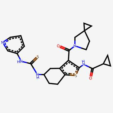 O=C(Nc1sc2c(c1C(=O)N1CCC3(CC3)C1)CC(NC(=S)Nc1cccnc1)CC2)C1CC1